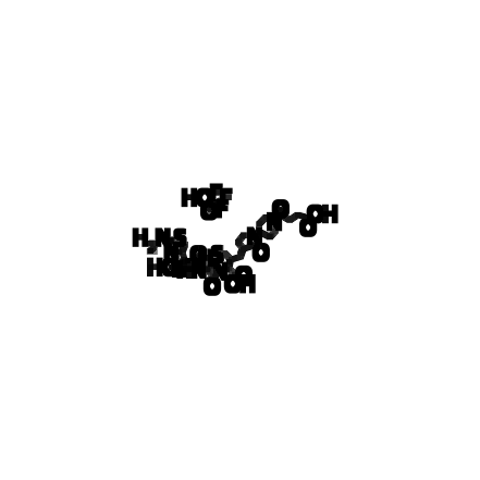 Nc1nc(C(=NO)C(=O)N[C@@H]2C(=O)N3C(C(=O)O)=C(C=C4CCN(C5CCN(C(=O)CCC(=O)O)CC5)C4=O)CS[C@H]23)cs1.O=C(O)C(F)(F)F